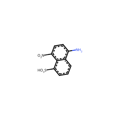 Nc1ccc([N+](=O)[O-])c2c(S(=O)(=O)O)cccc12